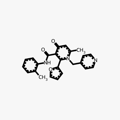 Cc1ccccc1NC(=O)c1c(-c2ccco2)n(Cc2ccncc2)c(C)cc1=O